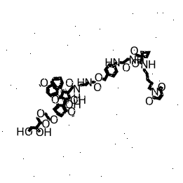 COc1ccc([C@@]23Oc4cc(OC5COCC(C(O)CO)O5)cc(OC)c4[C@]2(O)C(O)C(C(=O)NCCNC(=O)OCc2ccc(NC(=O)CNC(=O)C4(C(=O)NCCCCCN5C(=O)C=CC5=O)CCC4)cc2)[C@H]3c2ccccc2)cc1